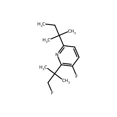 CCC(C)(C)c1ccc(F)c(C(C)(C)CF)n1